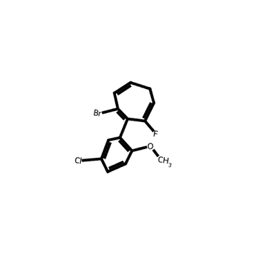 COc1ccc(Cl)cc1C1=C(Br)C=CCC=C1F